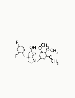 COc1cc(CN2CCC(CCO)(Cc3ccc(F)cc3F)C2=O)cc(OC)c1OC